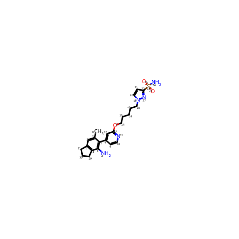 Cc1cc2c(c(N)c1-c1ccnc(OCCCCCn3ccc(S(N)(=O)=O)n3)c1)CCC2